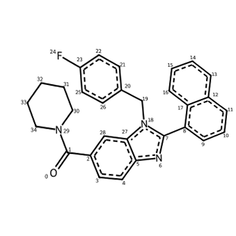 O=C(c1ccc2nc(-c3cccc4ccccc34)n(Cc3ccc(F)cc3)c2c1)N1CCCCC1